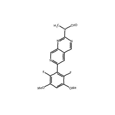 COc1cc(OC)c(F)c(-c2cc3cnc(N(C)C=O)nc3cn2)c1F